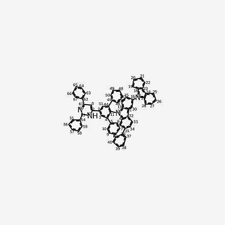 C1=C(c2cc(-c3ccccc3)c(-n3c4ccc(-n5c6ccccc6c6ccccc65)cc4c4ccc(-c5ccccc5)cc43)c(-c3ccccc3)c2)NC(c2ccccc2)N=C1c1ccccc1